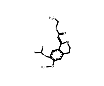 CCOC(=O)C=C1NCCc2cc(OC)c(OC(F)F)cc21